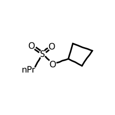 CCCS(=O)(=O)OC1CCC1